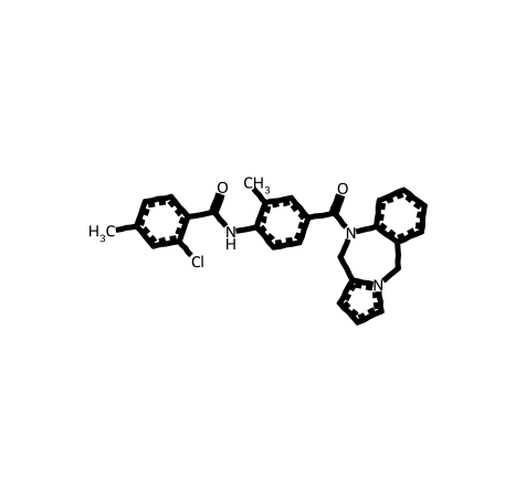 Cc1ccc(C(=O)Nc2ccc(C(=O)N3Cc4cccn4Cc4ccccc43)cc2C)c(Cl)c1